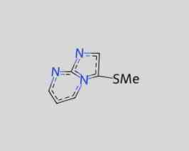 CSc1cnc2ncccn12